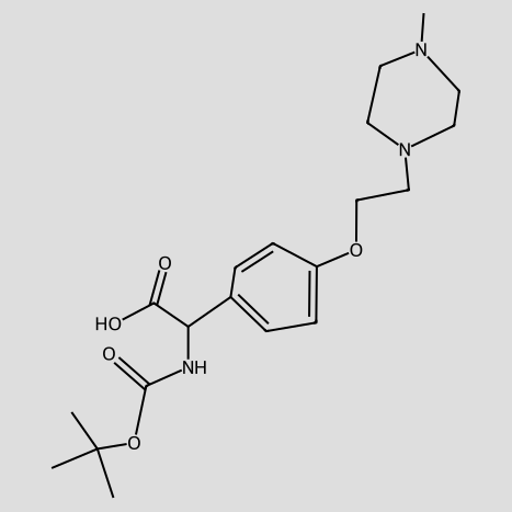 CN1CCN(CCOc2ccc(C(NC(=O)OC(C)(C)C)C(=O)O)cc2)CC1